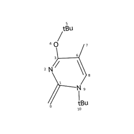 C=C1N=C(OC(C)(C)C)C(C)=CN1C(C)(C)C